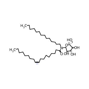 CCCCCCCC/C=C\CCCCCCCC(=O)N(CCCCCCCCCCCCCC)C1O[C@H](CO)[C@@H](O)[C@H](O)[C@@H]1O